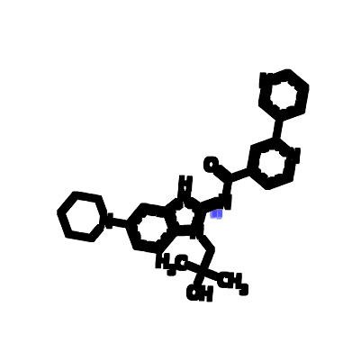 CC(C)(O)Cn1/c(=N/C(=O)c2ccnc(-c3cccnc3)c2)[nH]c2cc(N3CCCCC3)ccc21